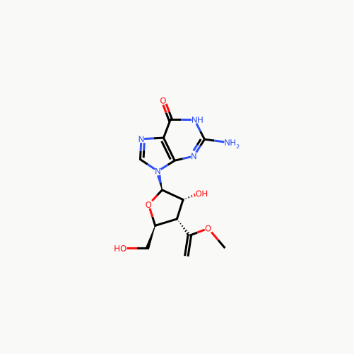 C=C(OC)[C@H]1[C@@H](O)[C@H](n2cnc3c(=O)[nH]c(N)nc32)O[C@@H]1CO